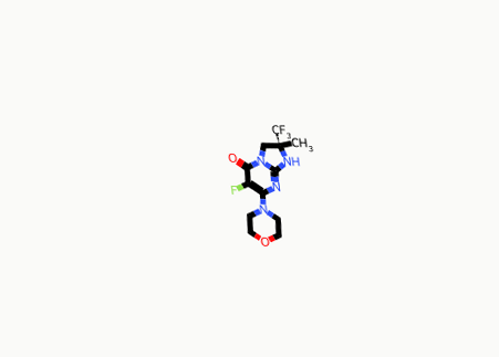 C[C@]1(C(F)(F)F)Cn2c(nc(N3CCOCC3)c(F)c2=O)N1